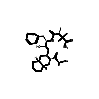 C[C@@H](C(=O)N[C@@H](Cc1ccccc1)[C@H](O)CN1C[C@H]2CCCC[C@H]2C[C@H]1C(=O)NC(C)(C)C)C(C)(C)C(N)=O